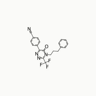 N#Cc1ccc(-c2nnc(C(F)(F)F)n(CCCc3ccccc3)c2=O)cc1